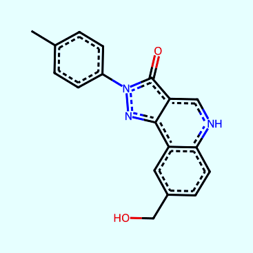 Cc1ccc(-n2nc3c4cc(CO)ccc4[nH]cc-3c2=O)cc1